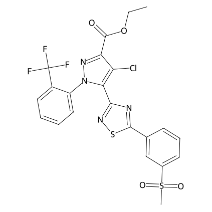 CCOC(=O)c1nn(-c2ccccc2C(F)(F)F)c(-c2nsc(-c3cccc(S(C)(=O)=O)c3)n2)c1Cl